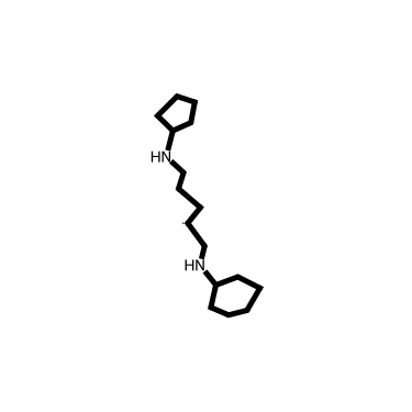 [CH](CCCNC1CCCC1)CNC1CCCCC1